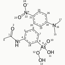 CC(=O)Nc1cccc([As](=O)(O)OO)c1.CN(C)c1ccc([N+](=O)[O-])cc1